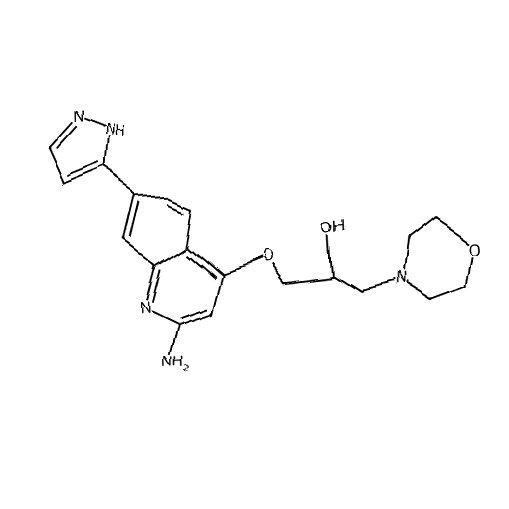 Nc1cc(OCC(O)CN2CCOCC2)c2ccc(-c3ccn[nH]3)cc2n1